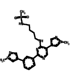 Cn1cc(-c2cccc(-c3ncc(-c4cnn(C)c4)c(NCCCCNS(C)(=O)=O)n3)c2)cn1